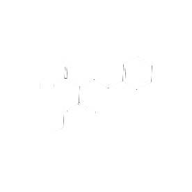 CCOC(=O)C(CCc1ccccc1)C(=O)O